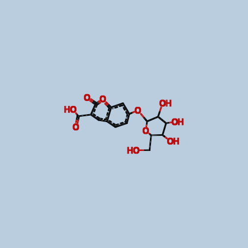 O=C(O)c1cc2ccc(OC3OC(CO)C(O)C(O)C3O)cc2oc1=O